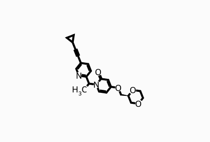 CC(c1ccc(C#CC2CC2)cn1)n1ccc(OC[C@@H]2COCCO2)cc1=O